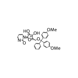 COc1ccc(C(OC[C@H]2O[C@@H](n3cccnc3=O)[C@@H](O)[C@H]2O)(c2ccccc2)c2ccc(OC)cc2)cc1